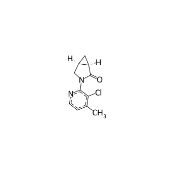 Cc1ccnc(N2C[C@H]3C[C@H]3C2=O)c1Cl